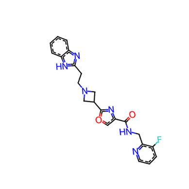 O=C(NCc1ncccc1F)c1coc(C2CN(CCc3nc4ccccc4[nH]3)C2)n1